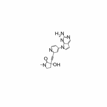 CN1CCC(O)(C#Cc2cc(-n3ccc4cnc(N)nc43)ccn2)C1=O